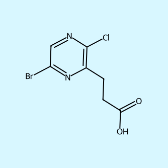 O=C(O)CCc1nc(Br)cnc1Cl